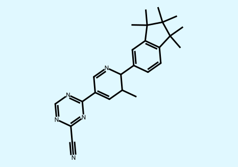 CC1C=C(c2ncnc(C#N)n2)C=NC1c1ccc2c(c1)C(C)(C)C(C)(C)C2(C)C